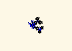 N#CC1=Nc2ncc(-c3ccc(N(c4ccccc4)c4ccccc4)cc3)nc2N(c2ccc(N(c3ccccc3)c3ccccc3)cc2)C1C#N